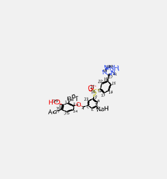 CCCc1c(OCc2cccc([S+]([O-])c3cccc(-c4nn[nH]n4)c3)c2)ccc(C(C)=O)c1O.[NaH]